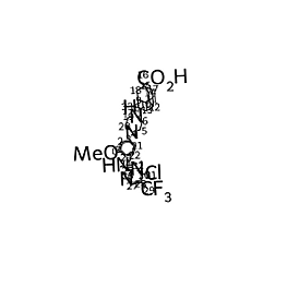 COc1cc(N2CCN([C@H]3C4CC5CC3C[C@](C(=O)O)(C5)C4)CC2)ccc1Nc1ncc(C(F)(F)F)c(Cl)n1